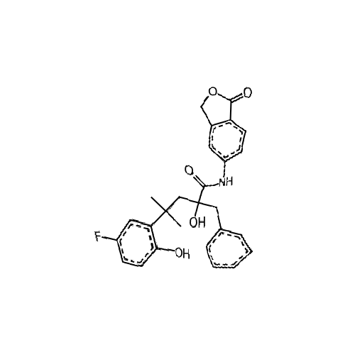 CC(C)(CC(O)(Cc1ccccc1)C(=O)Nc1ccc2c(c1)COC2=O)c1cc(F)ccc1O